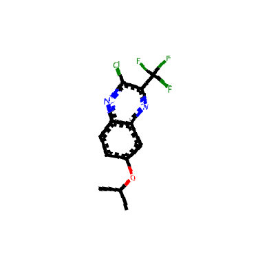 CC(C)Oc1ccc2nc(Cl)c(C(F)(F)F)nc2c1